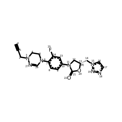 C#CCN1CCN(c2ccc(N3C[C@H](Cn4ccnn4)OC3=O)cc2F)C=N1